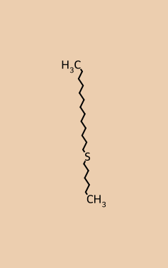 CCCCCCCCCCCCCSCCCCCC